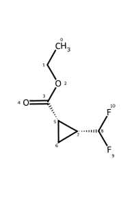 CCOC(=O)[C@H]1C[C@H]1C(F)F